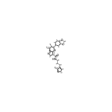 Cc1c(-c2ccc3c(c2)OCO3)nc2c(C(=O)NCCCn3ccnc3C)cnn2c1C